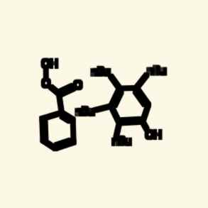 CCCCc1cc(O)c(CCCC)c(CCCC)c1CCCC.O=C(OO)c1ccccc1